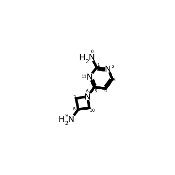 Nc1nccc(N2CC(N)C2)n1